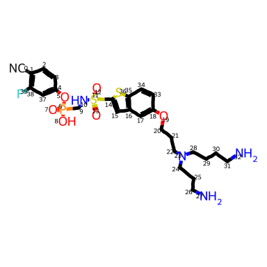 N#Cc1ccc(OP(=O)(O)CNS(=O)(=O)c2cc3cc(OCCCN(CCCN)CCCCN)ccc3s2)cc1F